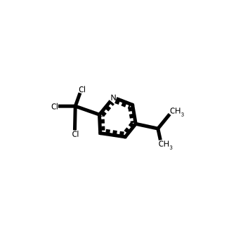 CC(C)c1ccc(C(Cl)(Cl)Cl)nc1